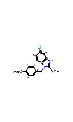 COc1ccc(Cn2c(C=O)nc3cc(Cl)ccc32)cc1